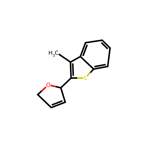 Cc1c(C2C=CCO2)sc2ccccc12